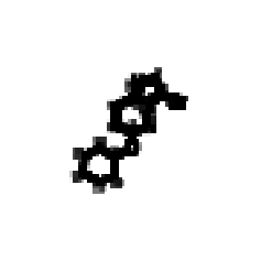 Brc1cnc2ccc(OC3CCCCC3)nn12